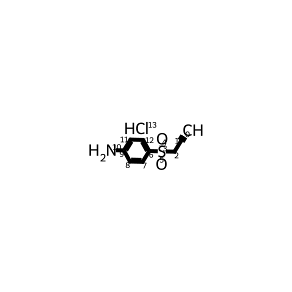 C#CCS(=O)(=O)c1ccc(N)cc1.Cl